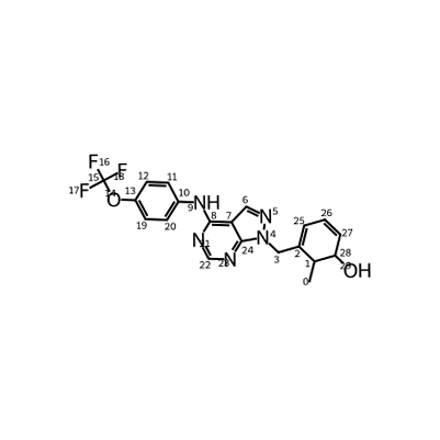 CC1C(Cn2ncc3c(Nc4ccc(OC(F)(F)F)cc4)ncnc32)=CC=CC1O